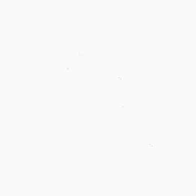 C#C[C@@H](O)[C@H]1CCc2c(cn(C)c2C(=O)Nc2ccc(F)c(C#N)c2)S(=O)(=O)N1